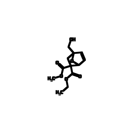 CCOC(=O)C1(C(=O)OC)CC2(CO)C=CC1O2